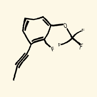 CC#Cc1cccc(OC(F)(F)F)c1F